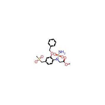 COC(=O)CN(c1ccc(CS(C)(=O)=O)cc1OCc1ccccc1)S(N)(=O)=O